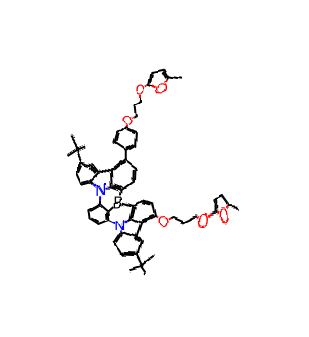 Cc1ccc(OCCCOc2ccc(-c3ccc4c5c3c3cc(C(C)(C)C)ccc3n5-c3cccc5c3B4c3ccc(OCCCOc4ccc(C)o4)c4c6cc(C(C)(C)C)ccc6n-5c34)cc2)o1